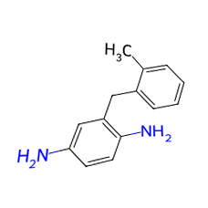 Cc1ccccc1Cc1cc(N)ccc1N